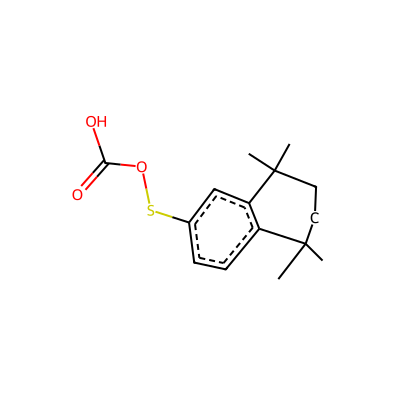 CC1(C)CCC(C)(C)c2cc(SOC(=O)O)ccc21